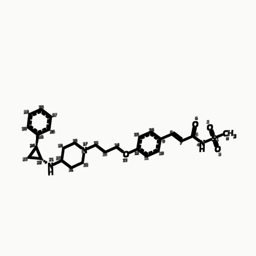 CS(=O)(=O)NC(=O)/C=C/c1ccc(OCCCN2CCC(N[C@@H]3C[C@H]3c3ccccc3)CC2)cc1